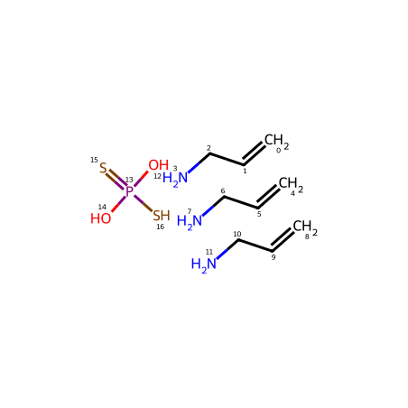 C=CCN.C=CCN.C=CCN.OP(O)(=S)S